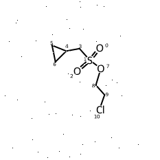 O=S(=O)(CC1CC1)OCCCl